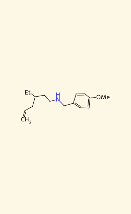 C=CCC(CC)CCNCc1ccc(OC)cc1